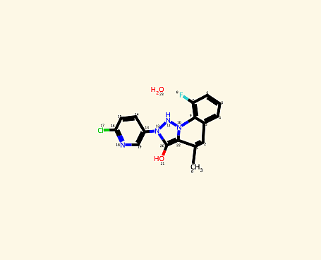 CC1=Cc2cccc(F)c2N2NN(c3ccc(Cl)nc3)C(O)=C12.O